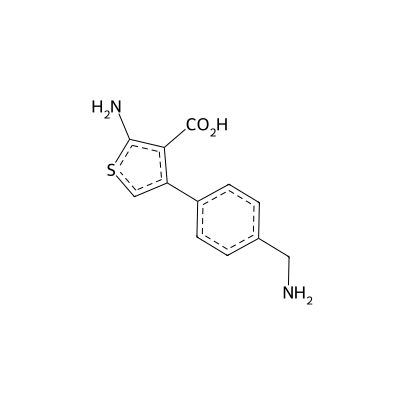 NCc1ccc(-c2csc(N)c2C(=O)O)cc1